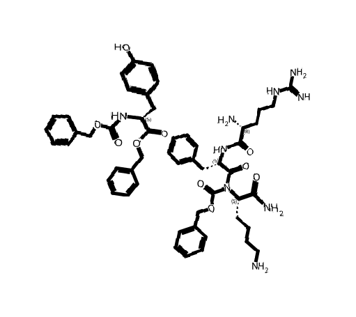 N=C(N)NCCC[C@@H](N)C(=O)N[C@@H](Cc1ccccc1)C(=O)N(C(=O)OCc1ccccc1)[C@@H](CCCCN)C(N)=O.O=C(N[C@@H](Cc1ccc(O)cc1)C(=O)OCc1ccccc1)OCc1ccccc1